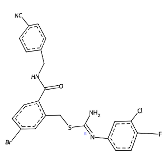 N#Cc1ccc(CNC(=O)c2ccc(Br)cc2CS/C(N)=N/c2ccc(F)c(Cl)c2)cc1